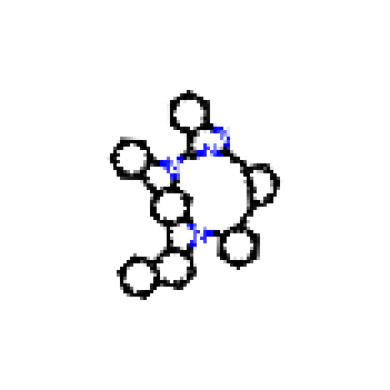 c1ccc2c(c1)ccc1c2c2cc3c4ccccc4n4c3cc2n1c1ccccc1c1cccc(c1)c1nc2ccccc2c4n1